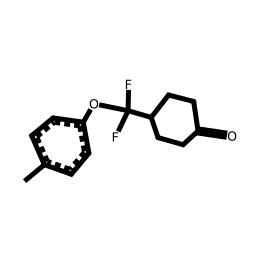 Cc1ccc(OC(F)(F)C2CCC(=O)CC2)cc1